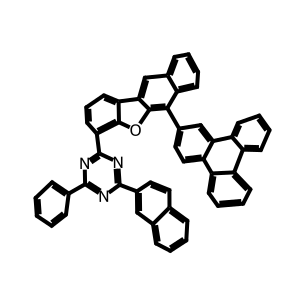 c1ccc(-c2nc(-c3ccc4ccccc4c3)nc(-c3cccc4c3oc3c(-c5ccc6c7ccccc7c7ccccc7c6c5)c5ccccc5cc34)n2)cc1